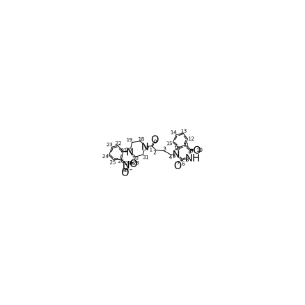 O=C(CCCn1c(=O)[nH]c(=O)c2ccccc21)N1CCN(c2ccccc2[N+](=O)[O-])CC1